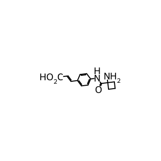 NC1(C(=O)Nc2ccc(/C=C/C(=O)O)cc2)CCC1